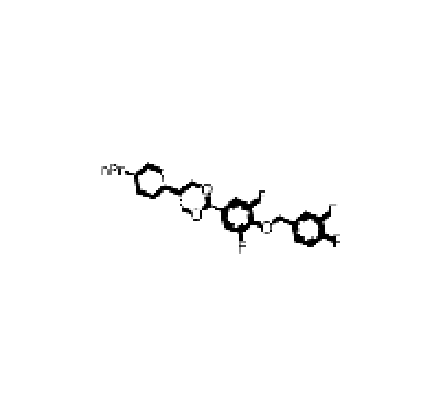 CCC[C@H]1CC[C@H]([C@H]2CO[C@H](c3cc(F)c(OCc4ccc(F)c(F)c4)c(F)c3)OC2)CC1